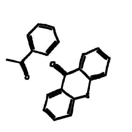 CC(=O)c1ccccc1.O=c1c2ccccc2sc2ccccc12